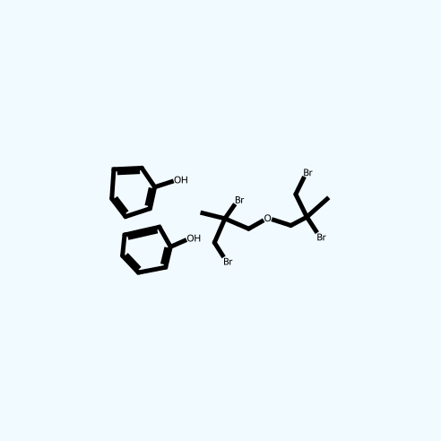 CC(Br)(CBr)COCC(C)(Br)CBr.Oc1ccccc1.Oc1ccccc1